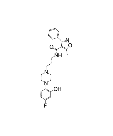 Cc1onc(-c2ccccc2)c1C(=O)NCCCN1CCN(c2ccc(F)cc2O)CC1